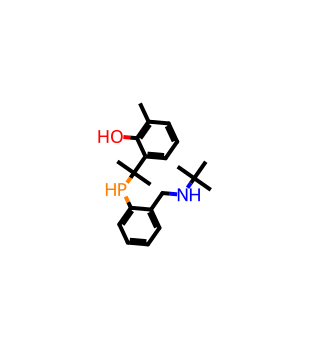 Cc1cccc(C(C)(C)Pc2ccccc2CNC(C)(C)C)c1O